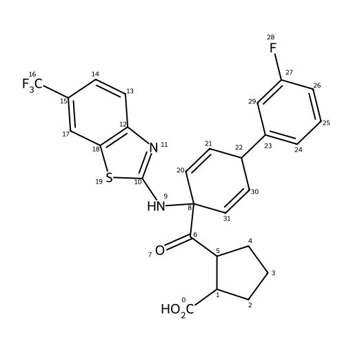 O=C(O)C1CCCC1C(=O)C1(Nc2nc3ccc(C(F)(F)F)cc3s2)C=CC(c2cccc(F)c2)C=C1